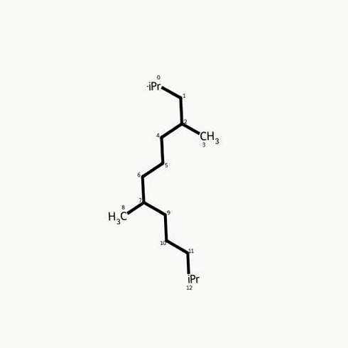 C[C](C)CC(C)CCCC(C)CCCC(C)C